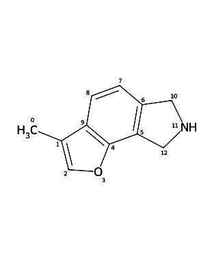 Cc1coc2c3c(ccc12)CNC3